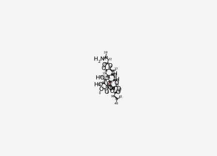 COC(=O)[C@@]12OC[C@]34C([C@@H](O)[C@@H]1O)[C@@]1(C)CC(=O)C(OC(=O)C[C@H](C)N)=C(C)[C@@H]1C[C@H]3OC(=O)[C@H](OC(=O)C=C(C)C)[C@@]24N